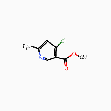 CC(C)(C)OC(=O)c1cnc(C(F)(F)F)cc1Cl